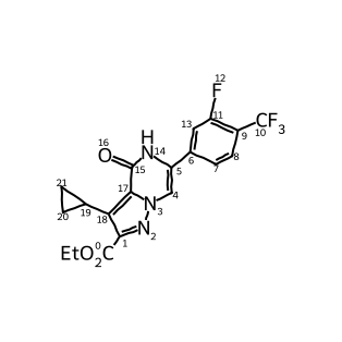 CCOC(=O)c1nn2cc(-c3ccc(C(F)(F)F)c(F)c3)[nH]c(=O)c2c1C1CC1